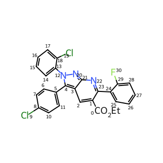 CCOC(=O)c1cc2c(-c3ccc(Cl)cc3)n(-c3ccccc3Cl)nc2nc1-c1ccccc1F